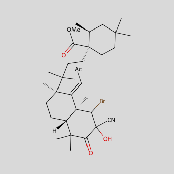 COC(=O)[C@]1(CCC(C)(C)[C@]2(C)CC[C@H]3C(C)(C)C(=O)C(O)(C#N)C(Br)[C@]3(C)/C2=C/C(C)=O)CCC(C)(C)C[C@@H]1C